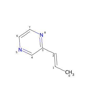 C/C=[C]/c1cnccn1